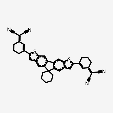 N#CC(C#N)=C1C=C(c2cc3cc4c(cc3s2)-c2cc3sc(C5=CC(=C(C#N)C#N)CCC5)cc3cc2C42CCCCC2)CCC1